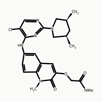 CNC(=O)COc1cc2cc(Nc3nc(N4C[C@H](C)C[C@H](C)C4)ncc3Cl)ccc2n(C)c1=O